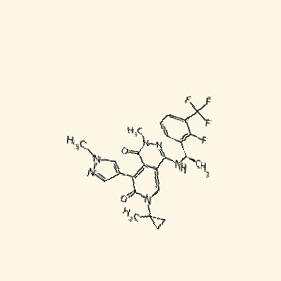 C[C@@H](Nc1nn(C)c(=O)c2c(-c3cnn(C)c3)c(=O)n(C3(C)CC3)cc12)c1cccc(C(F)(F)F)c1F